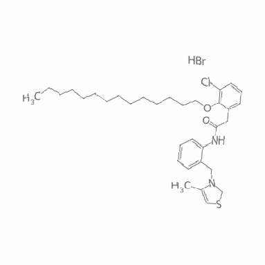 Br.CCCCCCCCCCCCCCOc1c(Cl)cccc1CC(=O)Nc1ccccc1CN1CSC=C1C